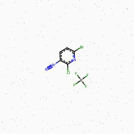 F[B-](F)(F)F.N#[N+]c1ccc(Br)nc1Cl